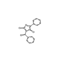 O=C(c1ccccc1)n1c(=O)on(-c2ccccc2)c1=O